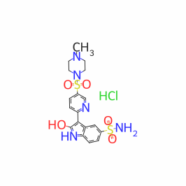 CN1CCN(S(=O)(=O)c2ccc(-c3c(O)[nH]c4ccc(S(N)(=O)=O)cc34)nc2)CC1.Cl